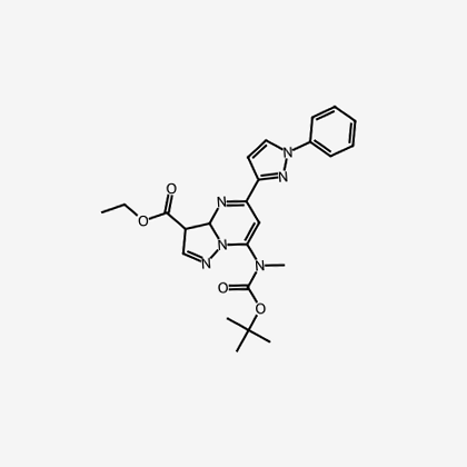 CCOC(=O)C1C=NN2C(N(C)C(=O)OC(C)(C)C)=CC(c3ccn(-c4ccccc4)n3)=NC12